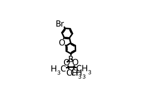 CC1(C)OB(c2ccc3c(c2)oc2cc(Br)ccc23)OC1(C)C